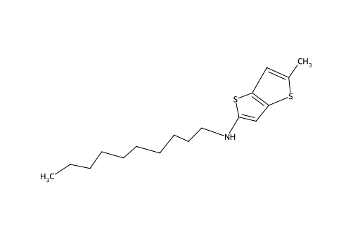 CCCCCCCCCCNc1cc2sc(C)cc2s1